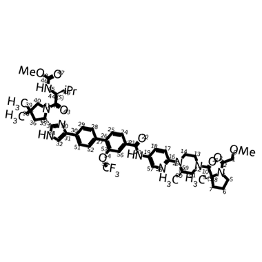 COCC(=O)N1CCC[C@@]1(C)C(=O)N1CCN(c2ccc(NC(=O)c3ccc(-c4ccc(-c5c[nH]c([C@@H]6CC(C)(C)CN6C(=O)[C@@H](NC(=O)OC)C(C)C)n5)cc4)c(OC(F)(F)F)c3)cn2)[C@H](C)C1